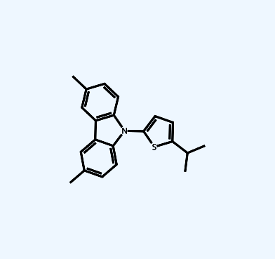 Cc1ccc2c(c1)c1cc(C)ccc1n2-c1ccc(C(C)C)s1